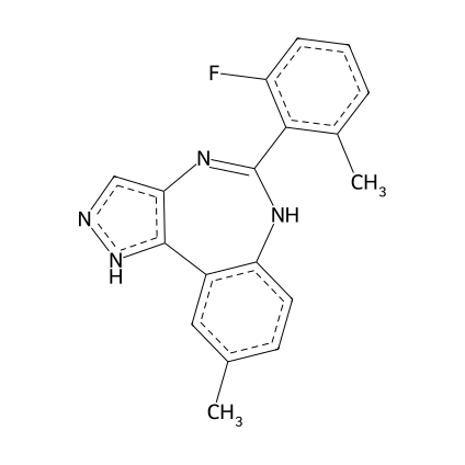 Cc1ccc2c(c1)-c1[nH]ncc1N=C(c1c(C)cccc1F)N2